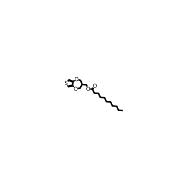 CCCCCCCCCCC(=O)OCC1COc2cscc2OC1